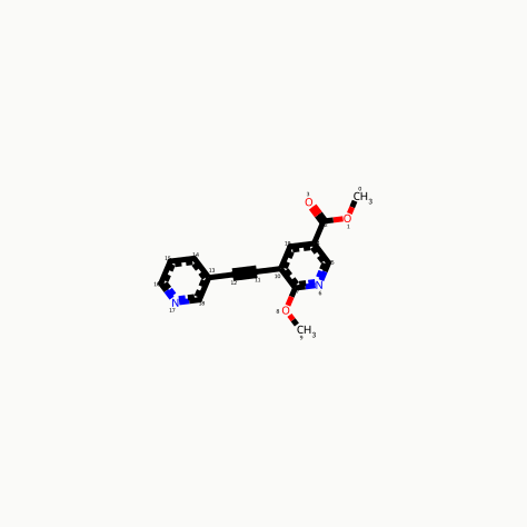 COC(=O)c1cnc(OC)c(C#Cc2cccnc2)c1